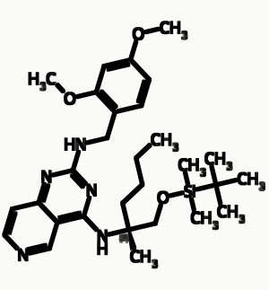 CCCC[C@](C)(CO[Si](C)(C)C(C)(C)C)Nc1nc(NCc2ccc(OC)cc2OC)nc2ccncc12